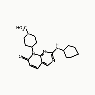 O=C(O)N1CCC(n2c(=O)ccc3cnc(NC4CCCCC4)nc32)CC1